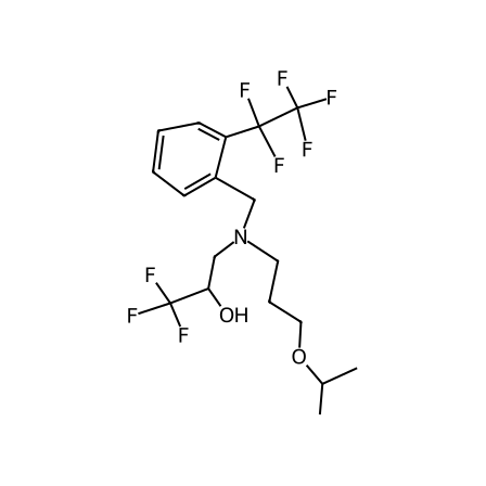 CC(C)OCCCN(Cc1ccccc1C(F)(F)C(F)(F)F)CC(O)C(F)(F)F